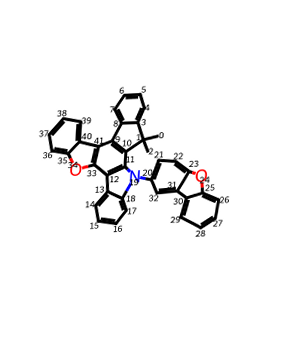 CC1(C)c2ccccc2-c2c1c1c(c3ccccc3n1-c1ccc3oc4ccccc4c3c1)c1oc3ccccc3c21